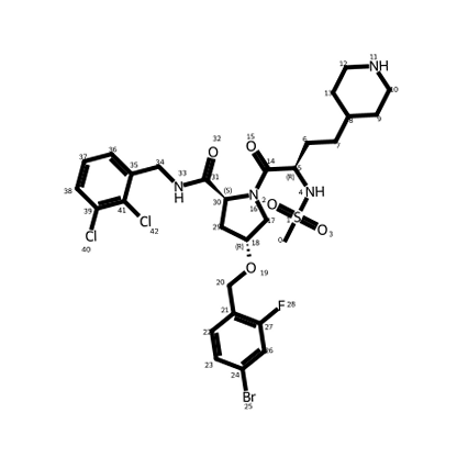 CS(=O)(=O)N[C@H](CCC1CCNCC1)C(=O)N1C[C@H](OCc2ccc(Br)cc2F)C[C@H]1C(=O)NCc1cccc(Cl)c1Cl